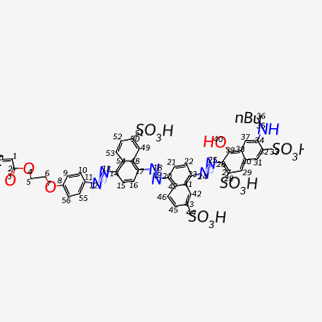 C=CC(=O)OCCOc1ccc(/N=N/c2ccc(/N=N/c3ccc(/N=N/c4c(S(=O)(=O)O)cc5cc(S(=O)(=O)O)c(NCCCC)cc5c4O)c4cc(S(=O)(=O)O)ccc34)c3cc(S(=O)(=O)O)ccc23)cc1